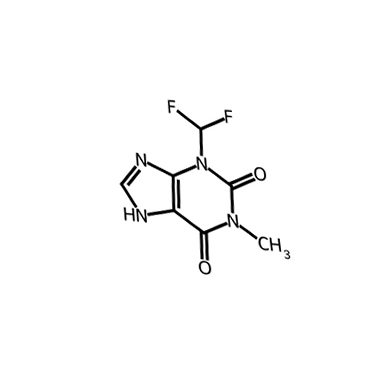 Cn1c(=O)c2[nH]cnc2n(C(F)F)c1=O